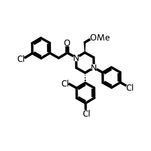 COC[C@H]1CN(c2ccc(Cl)cc2)[C@H](c2ccc(Cl)cc2Cl)CN1C(=O)Cc1cccc(Cl)c1